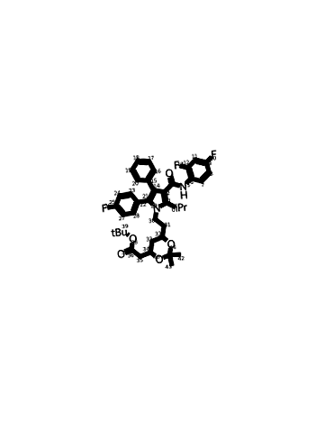 CC(C)c1c(C(=O)Nc2ccc(F)cc2F)c(-c2ccccc2)c(-c2ccc(F)cc2)n1CCC1CC(CC(=O)OC(C)(C)C)OC(C)(C)O1